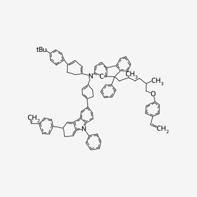 C=Cc1ccc(OCC(C)CCC(C)CC2(c3ccccc3)c3ccccc3-c3ccc(N(C4=CC=C(c5ccc(C(C)(C)C)cc5)CC4)C4=CC=C(c5ccc6c(c5)c5c(n6-c6ccccc6)=CCC(c6ccc(C=C)cc6)C=5)CC4)cc32)cc1